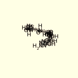 Nc1ncnc2c1ncn2[C@@H]1O[C@H](COP(=O)(O)OP(=O)(O)OC(=O)CCCCNC(=O)CCCC[C@@H]2SC[C@@H]3NC(=O)N[C@@H]32)C(O)[C@@H]1O